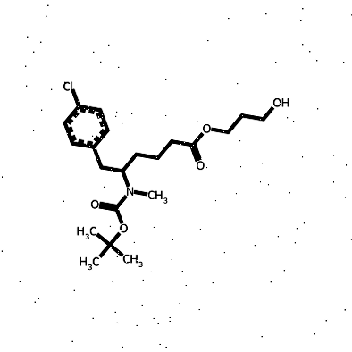 CN(C(=O)OC(C)(C)C)C(CCCC(=O)OCCCO)Cc1ccc(Cl)cc1